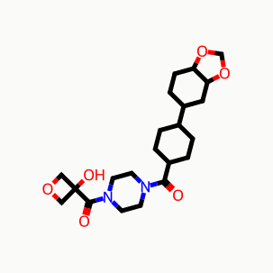 O=C(C1CCC(C2CCC3OCOC3C2)CC1)N1CCN(C(=O)C2(O)COC2)CC1